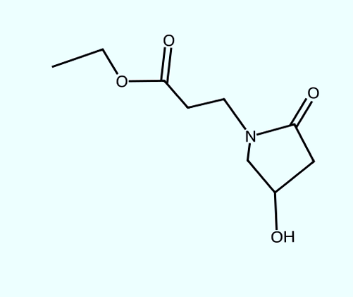 CCOC(=O)CCN1CC(O)CC1=O